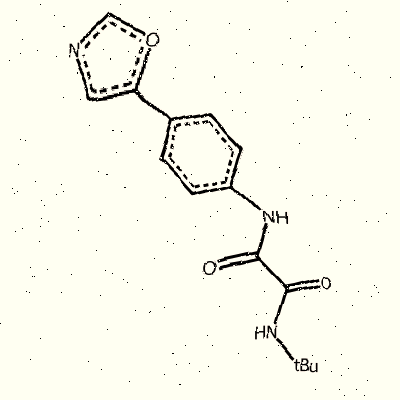 CC(C)(C)NC(=O)C(=O)Nc1ccc(-c2cnco2)cc1